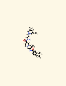 Cc1ccc(-c2nc(CN3CCC(C(=O)NCCCN4C[C@H](C)C[C@H](C)C4)CC3)c(C)o2)cc1C